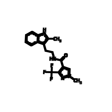 Cc1[nH]c2ccccc2c1CCNC(=O)c1cn(C)nc1C(F)(F)F